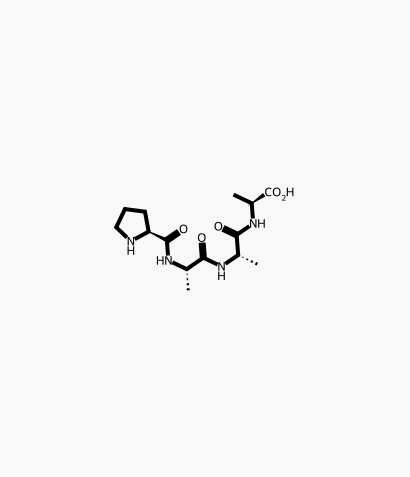 C[C@H](NC(=O)[C@H](C)NC(=O)[C@H](C)NC(=O)[C@@H]1CCCN1)C(=O)O